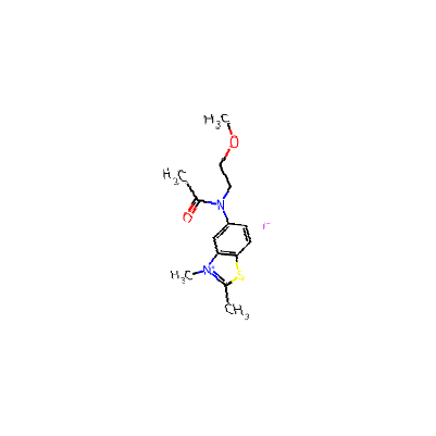 COCCN(C(C)=O)c1ccc2sc(C)[n+](C)c2c1.[I-]